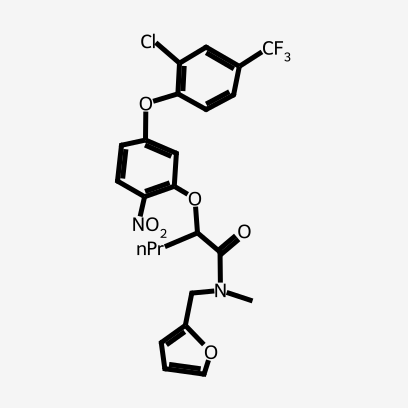 CCCC(Oc1cc(Oc2ccc(C(F)(F)F)cc2Cl)ccc1[N+](=O)[O-])C(=O)N(C)Cc1ccco1